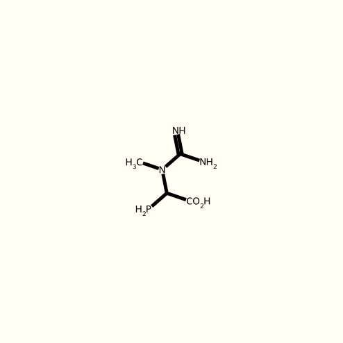 CN(C(=N)N)C(P)C(=O)O